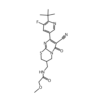 COCC(=O)NCC1CSc2nc(-c3cnc(C(C)(C)C)c(F)c3)c(C#N)c(=O)n2C1